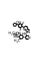 COC(=O)N[C@@H]1[C@H](N)C[C@H](c2ccncc2Nc2ncc3ccc(-c4c(F)cc(C5(O)CCCC5)cc4F)nn23)C[C@@H]1C